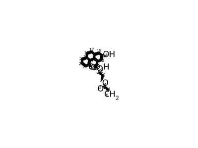 C=CC(=O)OCCCOC(=O)c1cc(O)cc2ccc3cccc(C(=O)O)c3c12